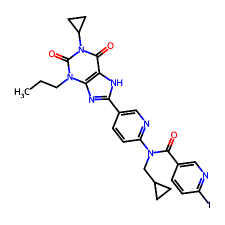 CCCn1c(=O)n(C2CC2)c(=O)c2[nH]c(-c3ccc(N(CC4CC4)C(=O)c4ccc(I)nc4)nc3)nc21